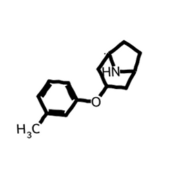 Cc1cccc(OC2C[C]3CCC(C2)N3)c1